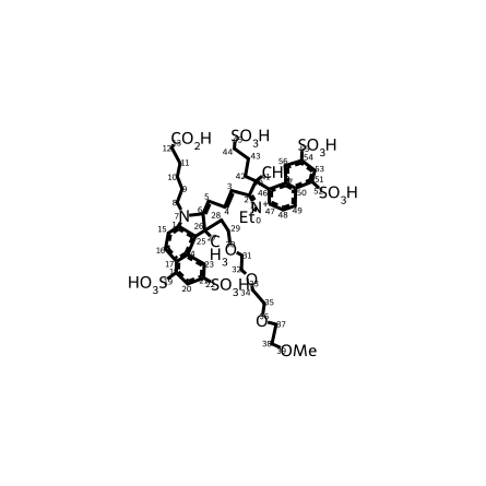 CC[N+]1=C(/C=C/C=C2/N(CCCCCC(=O)O)c3ccc4c(S(=O)(=O)O)cc(S(=O)(=O)O)cc4c3C2(C)CCOCCOCCOCCOC)C(C)(CCCS(=O)(=O)O)c2c1ccc1c(S(=O)(=O)O)cc(S(=O)(=O)O)cc21